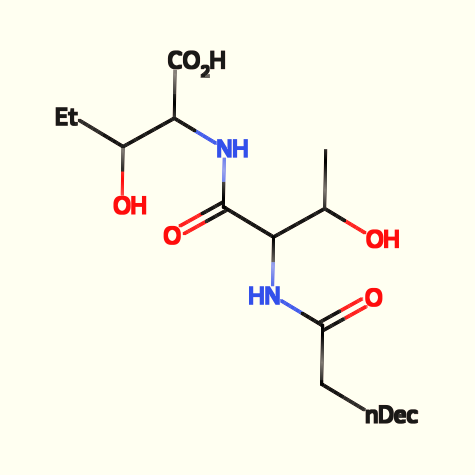 CCCCCCCCCCCC(=O)NC(C(=O)NC(C(=O)O)C(O)CC)C(C)O